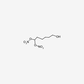 O=[N+]([O-])OC(CCCCCO)O[N+](=O)[O-]